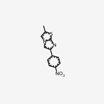 Cc1cn2cc(-c3ccc([N+](=O)[O-])cc3)nc2s1